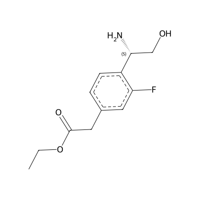 CCOC(=O)Cc1ccc([C@H](N)CO)c(F)c1